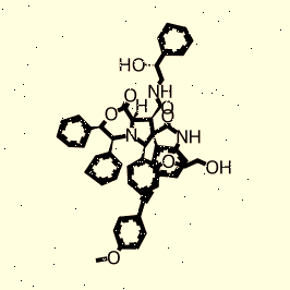 COc1ccc(C#Cc2ccc3c(c2)[C@]2(C(=O)N3)[C@H](C(=O)NC[C@H](O)c3ccccc3)[C@H]3C(=O)O[C@H](c4ccccc4)[C@H](c4ccccc4)N3[C@@H]2c2ccccc2OCCO)cc1